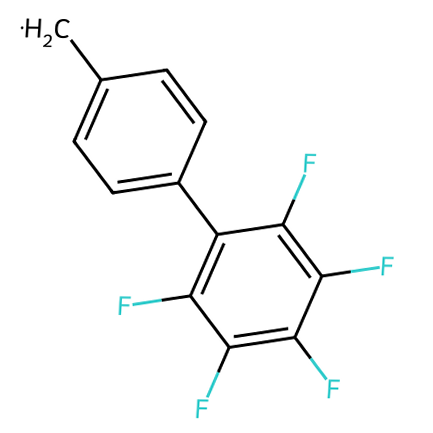 [CH2]c1ccc(-c2c(F)c(F)c(F)c(F)c2F)cc1